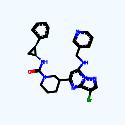 O=C(N[C@@H]1C[C@H]1c1ccccc1)N1CCCC(c2cc(NCc3cccnc3)n3ncc(Br)c3n2)C1